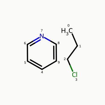 CCCCl.c1ccncc1